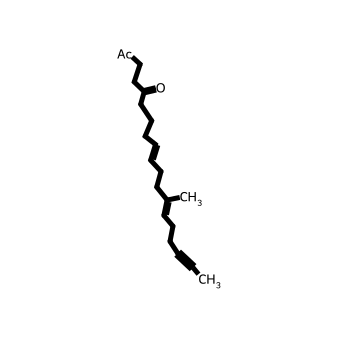 CC#CCC/C=C(\C)CC/C=C/CCCC(=O)CCC(C)=O